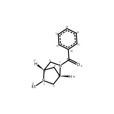 CCN1C[C@@H]2C[C@H]1CN2C(=O)c1ccccc1